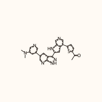 CC(=O)c1ccc(-c2cncc3[nH]c(-c4n[nH]c5ncc(-c6cncc(N(C)C)c6)cc45)cc23)s1